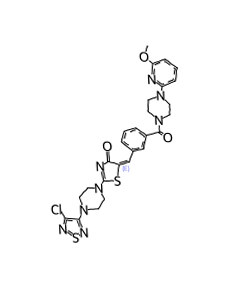 COc1cccc(N2CCN(C(=O)c3cccc(/C=C4/SC(N5CCN(c6nsnc6Cl)CC5)=NC4=O)c3)CC2)n1